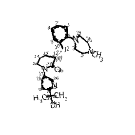 CN1CCN(c2ccccc2C[C@H]2CCCN(c3ccc(C(C)(C)O)nc3)C2=O)CC1